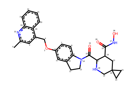 Cc1cc(COc2ccc3c(c2)CCN3C(=O)C2NCC3(CC3)CC2C(=O)NO)c2ccccc2n1